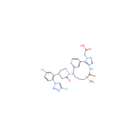 C[C@@H]1CCC[C@H](N2CCC(c3cc(Cl)ccc3-n3cc(Cl)nn3)CC2=O)c2cc(ccn2)-c2c(cnn2CC(=O)O)NC1=O